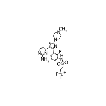 CN1CCN(c2nc(-c3cccc(NS(=O)(=O)CCC(F)(F)F)c3F)c(-c3ccnc(N)n3)s2)CC1